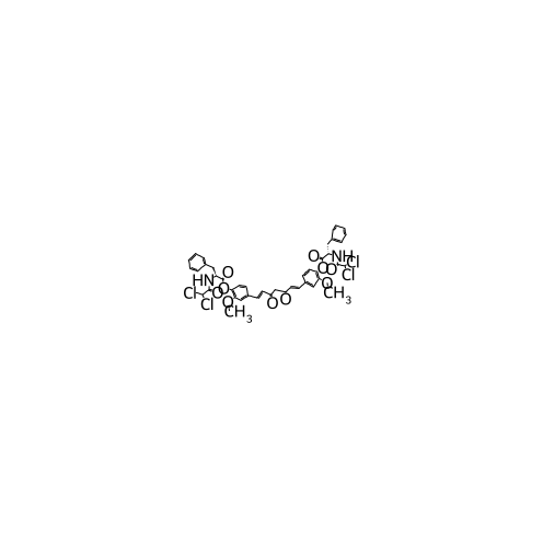 COc1cc(/C=C/C(=O)CC(=O)/C=C/c2ccc(OC(=O)[C@H](Cc3ccccc3)NC(=O)C(Cl)Cl)c(OC)c2)ccc1OC(=O)[C@H](Cc1ccccc1)NC(=O)C(Cl)Cl